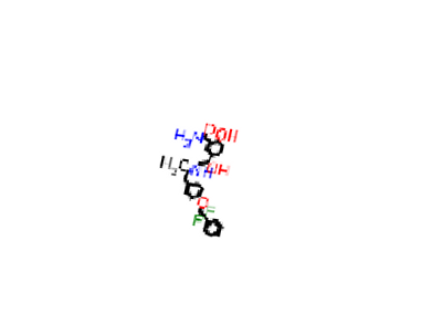 CC(Cc1ccc(OCC(F)(F)c2ccccc2)cc1)NC[C@@H](O)c1ccc(O)c(C(N)=O)c1